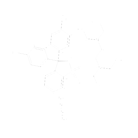 O=C([O-])CN(CCN(CC(=O)[O-])CC(=O)[O-])CC(=O)[O-].O=S1(=O)OC(c2ccc(O)cc2)(c2ccc(O)cc2)c2ccccc21.[Na+].[Na+].[Na+].[Na+]